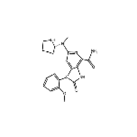 COc1ccccc1-n1c(=O)[nH]c2c(C(N)=O)nc(N(C)[C@@H]3CCCN3)nc21